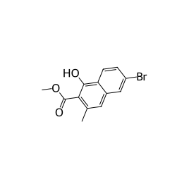 COC(=O)c1c(C)cc2cc(Br)ccc2c1O